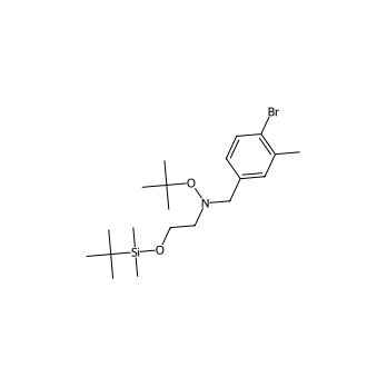 Cc1cc(CN(CCO[Si](C)(C)C(C)(C)C)OC(C)(C)C)ccc1Br